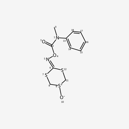 CN(C(=O)ON=C1SC[S+]([O-])CS1)c1ccccc1